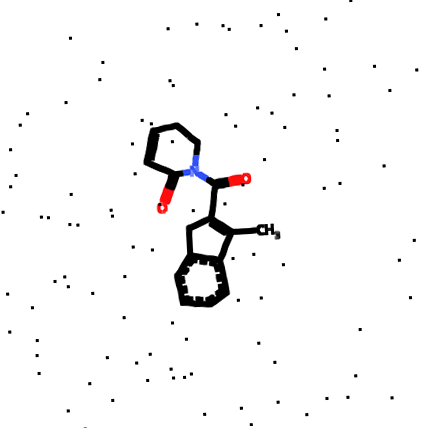 CC1=C(C(=O)N2CCC=CC2=O)Cc2ccccc21